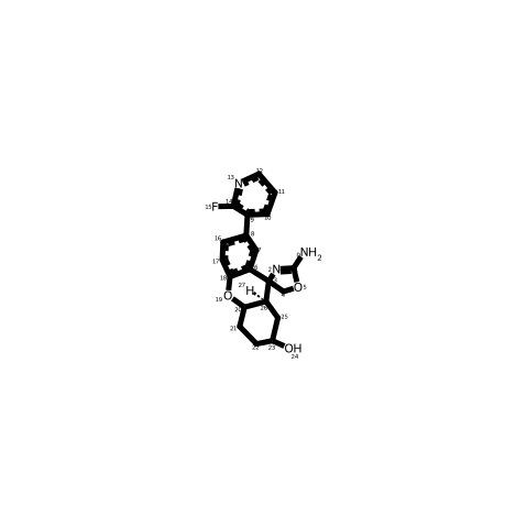 NC1=NC2(CO1)c1cc(-c3cccnc3F)ccc1OC1CCC(O)C[C@@H]12